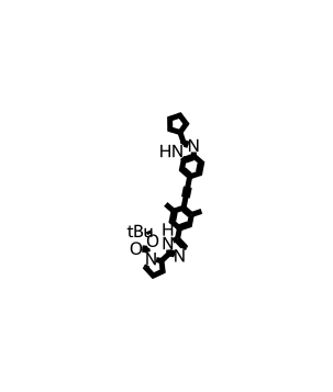 Cc1cc(-c2cnc(C3CCCN3C(=O)OC(C)(C)C)[nH]2)cc(C)c1C#Cc1ccc2nc(C3CCCC3)[nH]c2c1